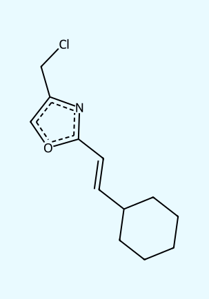 ClCc1coc(C=CC2CCCCC2)n1